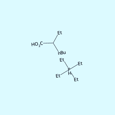 CCCCC(CC)C(=O)O.CC[PH](CC)(CC)CC